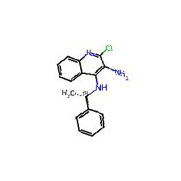 C[C@H](Nc1c(N)c(Cl)nc2ccccc12)c1ccccc1